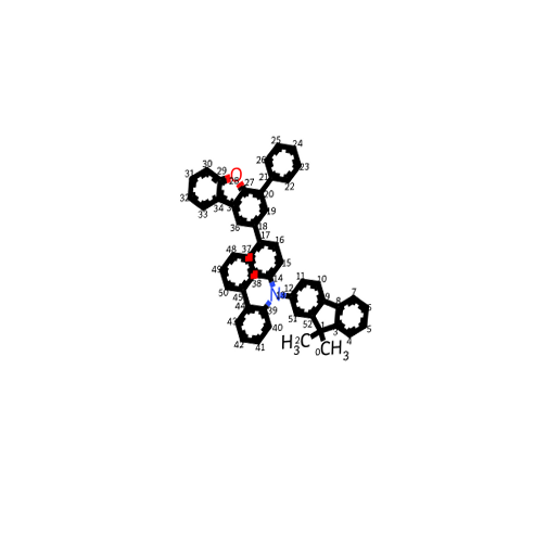 CC1(C)c2ccccc2-c2ccc(N(c3ccc(-c4cc(-c5ccccc5)c5oc6ccccc6c5c4)cc3)c3ccccc3-c3ccccc3)cc21